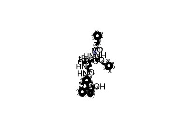 CC(C)(C)OC(=O)NC(CCCN/C(=N/C(=O)OCc1ccccc1)NC(=O)OCc1ccccc1)C(=O)Nc1ccc2c(c1)Oc1ccccc1C21OC(O)c2ccccc21